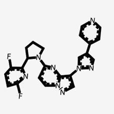 Fc1ccc(F)c(C2CCCN2c2ccn3ncc(-n4cc(-c5ccncc5)cn4)c3n2)n1